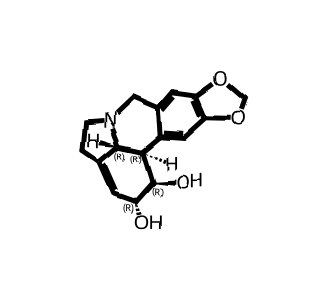 O[C@@H]1[C@@H]2c3cc4c(cc3CN3CCC(=C[C@H]1O)[C@@H]23)OCO4